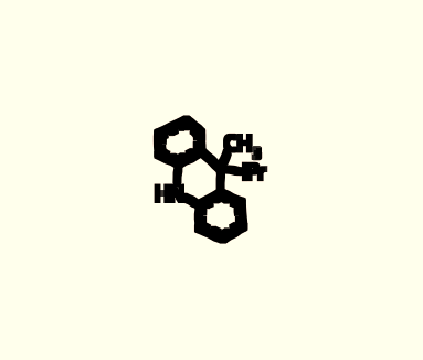 CC(C)C1(C)c2ccccc2Nc2ccccc21